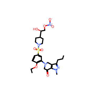 CCCc1nn(C)c2c1CN(c1cc(S(=O)(=O)N3CCC([C@@H](O)CO[N+](=O)[O-])CC3)ccc1OCC)CC2=O